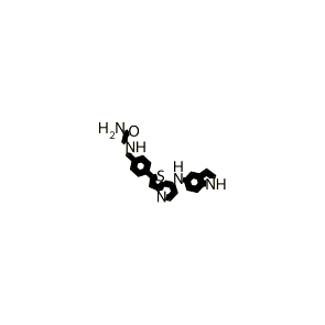 NC(=O)CNCc1ccc(-c2cc3nccc(Nc4ccc5[nH]ccc5c4)c3s2)cc1